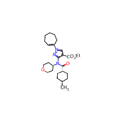 CCOC(=O)c1cn(C2=CCCCCC2)nc1N(C(=O)[C@H]1CC[C@H](C)CC1)C1CCOCC1